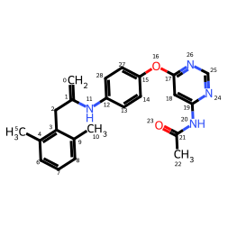 C=C(Cc1c(C)cccc1C)Nc1ccc(Oc2cc(NC(C)=O)ncn2)cc1